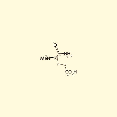 CN[C@H](CCC(=O)O)C(N)=O